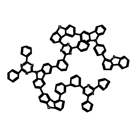 c1ccc(-c2nc(-c3ccccc3)nc(-c3cccc(-c4cccc(-c5cccc6oc7ccc(-c8ccc9c(c8)c8cc(-c%10cccc(-c%11nc(-c%12ccccc%12)nc(-c%12cccc%13oc%14ccc(-c%15ccc%16c(c%15)c%15ccccc%15n%16-c%15ccc(-c%16cccc%17c%16sc%16ccccc%16%17)cc%15)cc%14c%12%13)n%11)c%10)ccc8n9-c8nc(-c9ccccc9)nc(-c9ccccc9)n8)cc7c56)c4)c3)n2)cc1